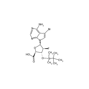 CC(C)(C)[Si](C)(C)O[C@H]1[C@H](F)[C@H](n2cc(Br)c3c(N)ncnc32)O[C@@H]1C(=O)O